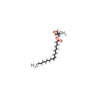 CCCCCCCC/C=C\CCCCCCCC(=O)OCC1(C)COC1